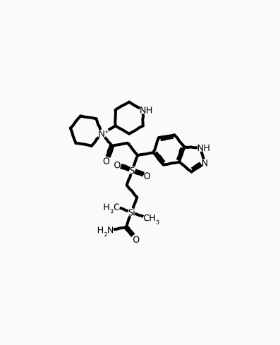 C[Si](C)(CCS(=O)(=O)C([CH]C(=O)[N+]1(C2CCNCC2)CCCCC1)c1ccc2[nH]ncc2c1)C(N)=O